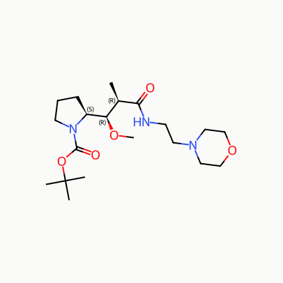 CO[C@H]([C@@H](C)C(=O)NCCN1CCOCC1)[C@@H]1CCCN1C(=O)OC(C)(C)C